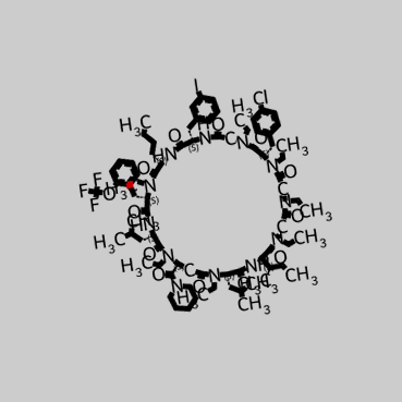 CCCC[C@@H]1NC(=O)[C@H](Cc2cccc(I)c2)NC(=O)CN(CC)C(=O)[C@H](Cc2ccc(Cl)cc2)N(CC)C(=O)CN(CC)C(=O)CN(CC)C(=O)[C@H]([C@@H](C)CC)NC(=O)[C@H](CC(C)C)N(CC)C(=O)C[C@@H](C(=O)N2CCCCC2)N(CC)C(=O)[C@H](CC(C)C)NC(=O)[C@H](Cc2ccccc2OC(F)(F)F)N(CC)C1=O